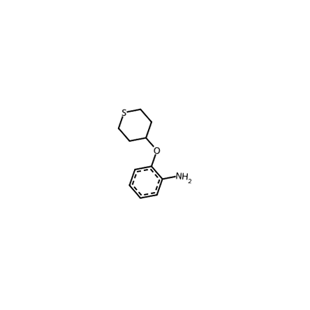 Nc1ccccc1OC1CCSCC1